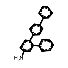 Nc1ccc(-c2ccc(-c3ccccc3)cc2)c(-c2ccccc2)c1